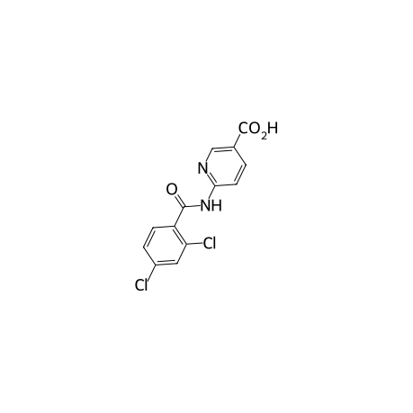 O=C(O)c1ccc(NC(=O)c2ccc(Cl)cc2Cl)nc1